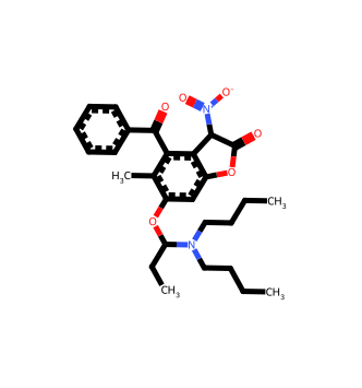 CCCCN(CCCC)C(CC)Oc1cc2c(c(C(=O)c3ccccc3)c1C)C([N+](=O)[O-])C(=O)O2